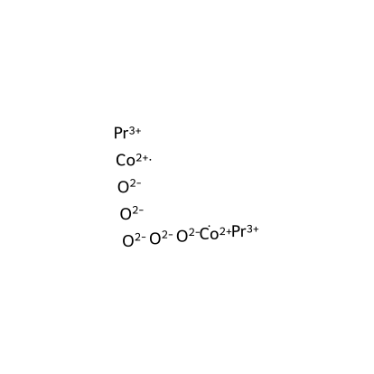 [Co+2].[Co+2].[O-2].[O-2].[O-2].[O-2].[O-2].[Pr+3].[Pr+3]